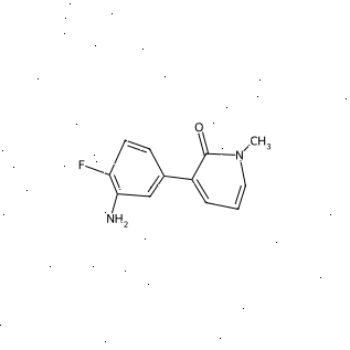 Cn1cccc(-c2ccc(F)c(N)c2)c1=O